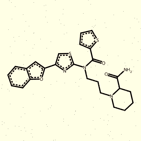 NC(=O)C1CCCCN1CCCN(C(=O)c1cccs1)c1nc(-c2cc3ccccc3o2)cs1